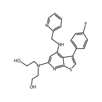 OCCN(CCO)c1cc(NCc2ccccn2)c2c(-c3ccc(F)cc3)csc2n1